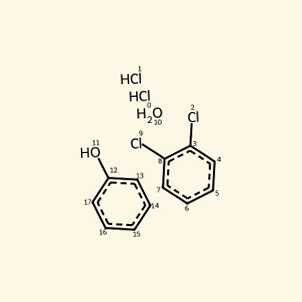 Cl.Cl.Clc1ccccc1Cl.O.Oc1ccccc1